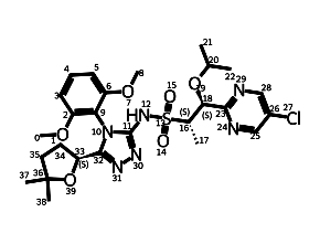 COc1cccc(OC)c1-n1c(NS(=O)(=O)[C@@H](C)[C@@H](OC(C)C)c2ncc(Cl)cn2)nnc1[C@@H]1CCC(C)(C)O1